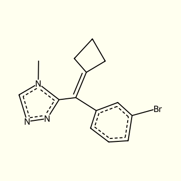 Cn1cnnc1C(=C1CCC1)c1cccc(Br)c1